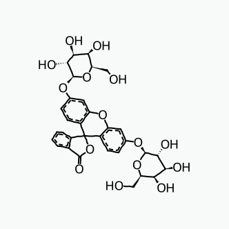 O=C1OC2(c3ccc(O[C@@H]4O[C@H](CO)[C@H](O)[C@H](O)[C@H]4O)cc3Oc3cc(O[C@@H]4O[C@H](CO)[C@H](O)[C@H](O)[C@H]4O)ccc32)c2ccccc21